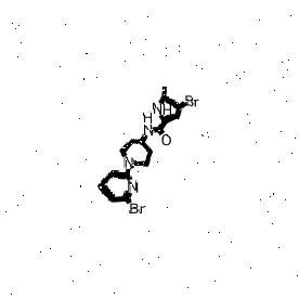 Cc1[nH]c(C(=O)NC2CCN(c3cccc(Br)n3)CC2)cc1Br